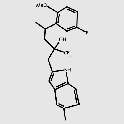 COc1ccc(F)cc1C(C)CC(O)(Cc1cc2cc(C)ccc2[nH]1)C(F)(F)F